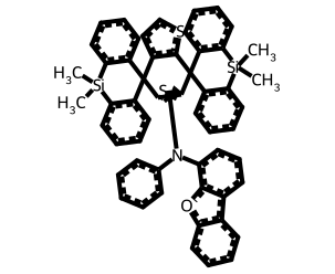 C[Si]1(C)c2ccccc2C2(c3ccccc31)c1cc(N(c3ccccc3)c3cccc4c3oc3ccccc34)sc1C1(c3ccccc3[Si](C)(C)c3ccccc31)c1ccsc12